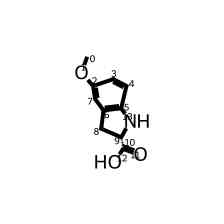 COc1ccc2c(c1)C[C@@H](C(=O)O)N2